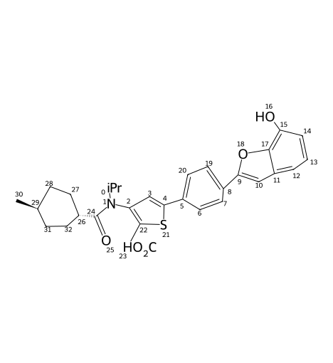 CC(C)N(c1cc(-c2ccc(-c3cc4cccc(O)c4o3)cc2)sc1C(=O)O)C(=O)[C@H]1CC[C@H](C)CC1